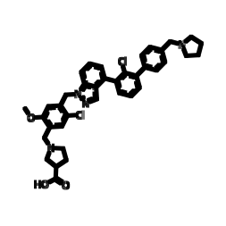 COc1cc(Cn2ncc3c(-c4cccc(-c5ccc(CN6CCCC6)cc5)c4Cl)cccc32)c(Cl)cc1CN1CCC(C(=O)O)C1